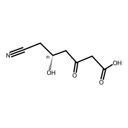 N#CC[C@@H](O)CC(=O)CC(=O)O